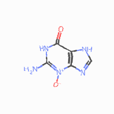 Nc1[nH]c(=O)c2[nH]cnc2[n+]1[O-]